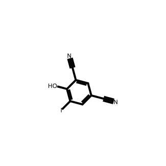 N#Cc1cc(I)c(O)c(C#N)c1